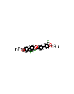 CCCCOc1ccc(-c2ccc(COc3ccc(-c4ccc(OCCC)cc4)c(F)c3F)cc2)cc1F